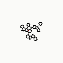 CC1(C)c2ccccc2-c2c(-c3ccccc3N(c3ccc(-c4cccc5oc6c7ccccc7ccc6c45)cc3)c3ccc4c(c3)c3ccccc3n4-c3ccccc3)cccc21